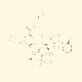 C=CCNC(=O)C(=O)C(CC1CCC1)NC(=O)[C@@H]1CCCN1C(=O)[C@@H](NC(=O)N[C@H](Cn1ccccc1=O)C(C)(C)C)C(C)(C)C